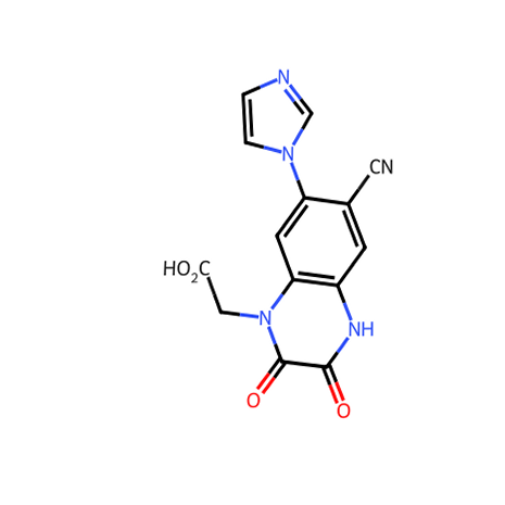 N#Cc1cc2[nH]c(=O)c(=O)n(CC(=O)O)c2cc1-n1ccnc1